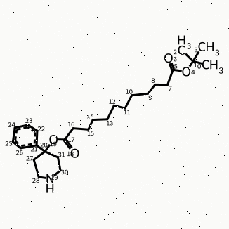 CC(C)(C)OC(=O)CCCCCCCCCCC(=O)OC1(c2ccccc2)CCNCC1